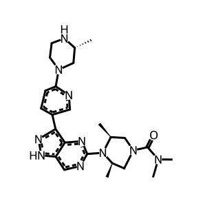 C[C@@H]1CN(c2ccc(-c3n[nH]c4cnc(N5[C@H](C)CN(C(=O)N(C)C)C[C@@H]5C)nc34)cn2)CCN1